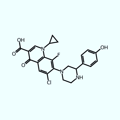 O=C(O)c1cn(C2CC2)c2c(F)c(N3CCNC(c4ccc(O)cc4)C3)c(Cl)cc2c1=O